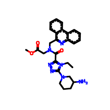 CCn1c(C(=O)N(CC(=O)OC)Cc2nc3ccccc3c3ccccc23)nnc1N1CCCC(N)C1